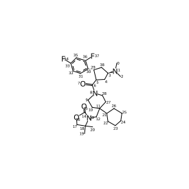 CN(C)[C@H]1CC(C(=O)N2CCC(CN3C(=O)OCC3(C)C)(C3CCCCC3)CC2)[C@H](c2ccc(F)cc2F)C1